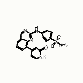 NS(=O)(=O)c1ccc(Nc2ncc3cccc(-c4cc[nH]c(=O)c4)c3n2)cc1